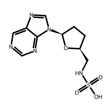 O=S(=O)(O)NC[C@@H]1CC[C@H](n2cnc3cncnc32)O1